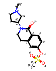 CC(C)N1CC[C@@H](N2CCc3cc(OS(=O)(=O)C(F)(F)F)ccc3C2=O)C1